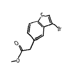 COC(=O)Cc1ccc2scc(Br)c2c1